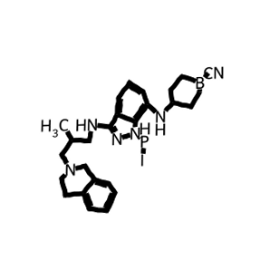 CC(CNc1nn(PI)c2c(NC3CCB(C#N)CC3)cccc12)CN1CCc2ccccc2C1